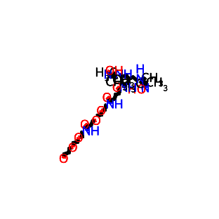 C/C(=N/O)C(C)(C)NCCC(CCNC(=O)CCCC(=O)NCCOCCOCCC(=O)NCCOCCOCCC=O)CCNC(C)(C)/C(C)=N\O